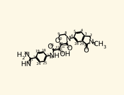 CN1Cc2ccc(N3CCO[C@H]([C@@H](O)C(=O)Nc4ccc(C(=N)N)cc4)C3=O)cc2C1=O